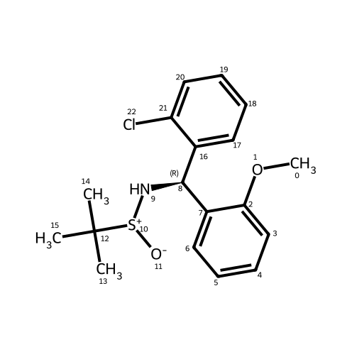 COc1ccccc1[C@@H](N[S+]([O-])C(C)(C)C)c1ccccc1Cl